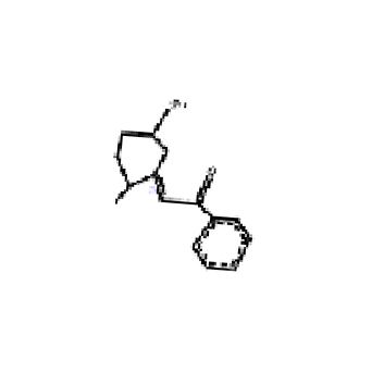 CC1CCC(C(C)(C)C)C/C1=C\C(=O)c1ccccc1